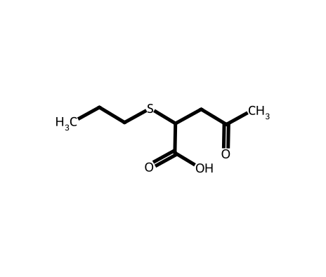 CCCSC(CC(C)=O)C(=O)O